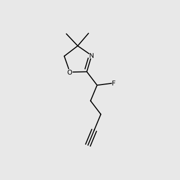 C#CCCC(F)C1=NC(C)(C)CO1